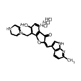 Cc1ccc2c(C=C3Oc4c(ccc(O)c4CN4CCNCC4)C3=O)c[nH]c2n1.Cl.Cl.Cl